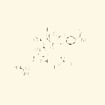 CCCCC(NC(=O)C(Cc1ccc(C(=N)N)cc1)C(=O)N(C)C)C(=O)N[C@@H](CCCNC(=N)N)C(N)=O.O=C(O)C(F)(F)F